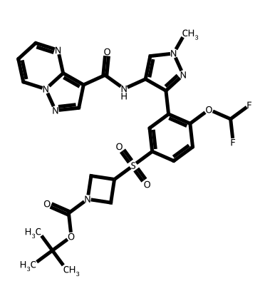 Cn1cc(NC(=O)c2cnn3cccnc23)c(-c2cc(S(=O)(=O)C3CN(C(=O)OC(C)(C)C)C3)ccc2OC(F)F)n1